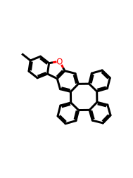 Cc1ccc2c(c1)oc1cc3c(cc12)-c1ccccc1-c1ccccc1-c1ccccc1-3